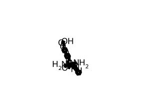 Cc1c(C(N)=O)n(CCN2CCN(c3ccc(OCC(=O)O)cc3)CC2)c2nc(N)n3nc(-c4ccccn4)nc3c12